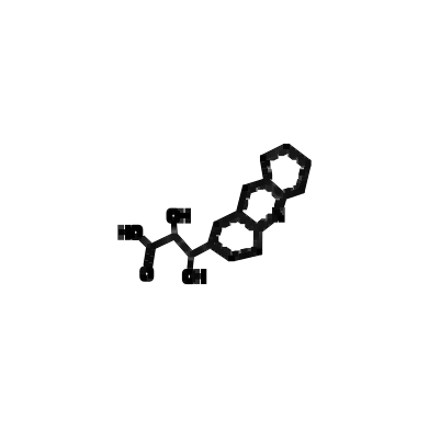 O=C(O)C(O)C(O)c1ccc2nc3ccccc3cc2c1